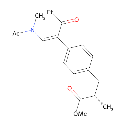 CCC(=O)/C(=C\N(C)C(C)=O)c1ccc(C[C@H](C)C(=O)OC)cc1